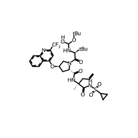 C=CC[C@](C)(NC(=O)[C@@H]1C[C@@H](Oc2cc(C(F)(F)F)nc3ccccc23)CN1C(=O)[C@@H](NC(O)OC(C)(C)C)C(C)(C)C)C(=O)NS(=O)(=O)C1CC1